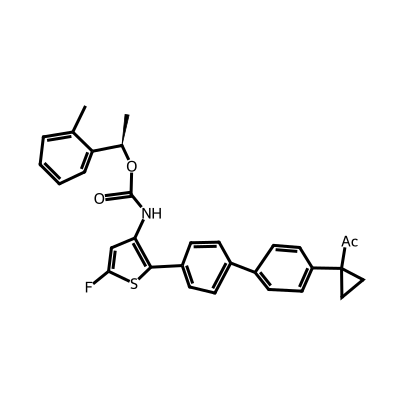 CC(=O)C1(c2ccc(-c3ccc(-c4sc(F)cc4NC(=O)O[C@H](C)c4ccccc4C)cc3)cc2)CC1